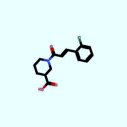 O=C(O)C1CCCN(C(=O)C=Cc2ccccc2Cl)C1